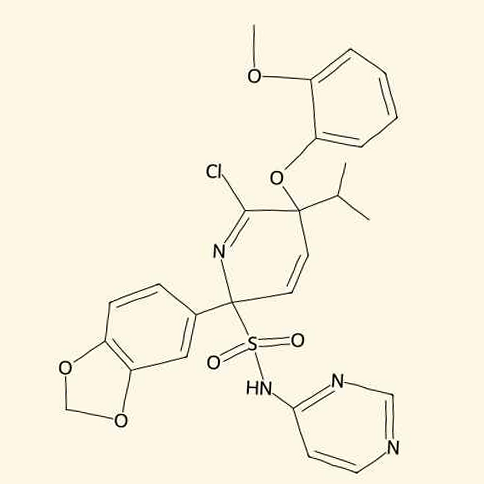 COc1ccccc1OC1(C(C)C)C=CC(c2ccc3c(c2)OCO3)(S(=O)(=O)Nc2ccncn2)N=C1Cl